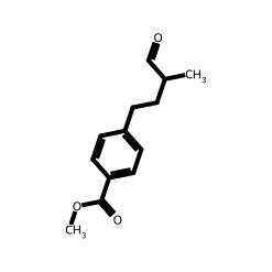 COC(=O)c1ccc(CCC(C)C=O)cc1